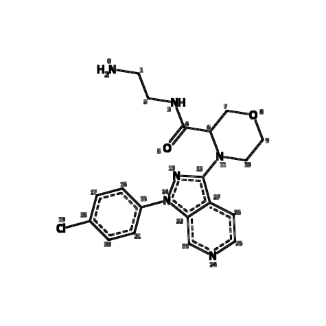 NCCNC(=O)C1COCCN1c1nn(-c2ccc(Cl)cc2)c2cnccc12